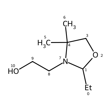 CCC1OCC(C)(C)N1CCO